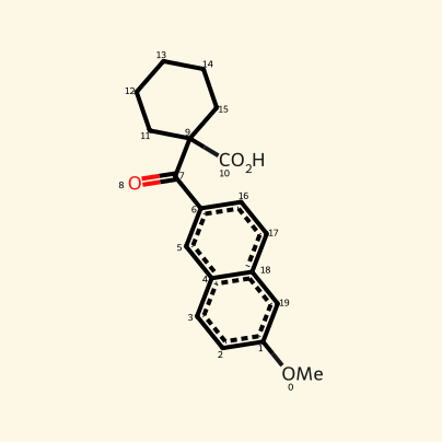 COc1ccc2cc(C(=O)C3(C(=O)O)CCCCC3)ccc2c1